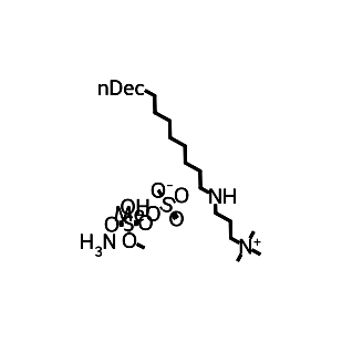 CCCCCCCCCCCCCCCCCCNCCC[N+](C)(C)C.COS(=O)(=O)O.COS(=O)(=O)[O-].N